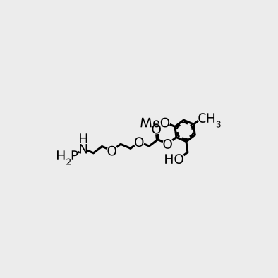 COc1cc(C)cc(CO)c1OC(=O)COCCOCCNP